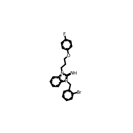 N=c1n(CCCOc2ccc(F)cc2)c2ccccc2n1Cc1ccccc1Br